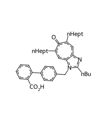 CCCCCCCc1cc2nc(CCCC)n(Cc3ccc(-c4ccccc4C(=O)O)cc3)c2cc(CCCCCCC)c1=O